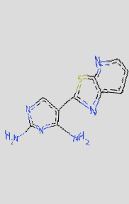 Nc1ncc(-c2nc3cccnc3s2)c(N)n1